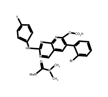 CNC(=O)N(C)C.O=C(O)Oc1nc2nc(Nc3ccc(F)cc3)ncc2cc1-c1ccccc1Br